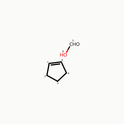 C1=CCCC1.O=CO